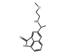 COCCNC(C)c1cc2c3c(cccc3c1)NC2=O